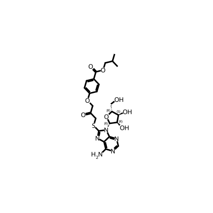 CC(C)COC(=O)c1ccc(OCC(=O)CSc2nc3c(N)ncnc3n2[C@@H]2O[C@H](CO)[C@@H](O)[C@H]2O)cc1